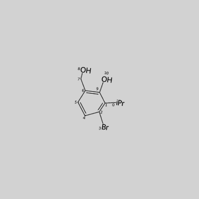 CC(C)c1c(Br)ccc(CO)c1O